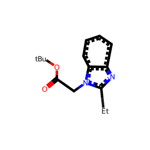 CCc1nc2ccccc2n1CC(=O)OC(C)(C)C